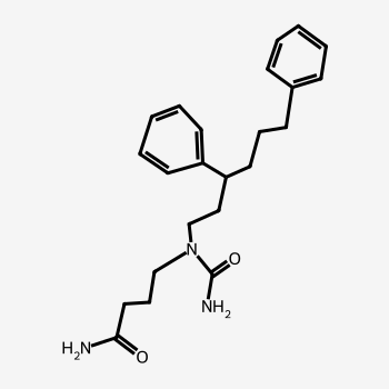 NC(=O)CCCN(CCC(CCCc1ccccc1)c1ccccc1)C(N)=O